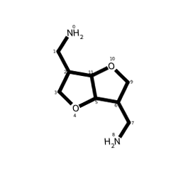 NCC1COC2C(CN)COC12